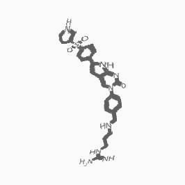 N=C(N)NCCCNCc1ccc(-n2cc3cc(-c4ccc(S(=O)(=O)[C@H]5CCNC5)cc4)[nH]c3nc2=O)cc1